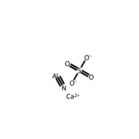 O=S(=O)([O-])[O-].[Ca+2].[N]#[Al]